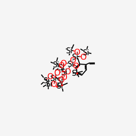 C=Cc1ccccc1[Si](O[Si](C)(C)C)(O[Si](C)(C)C)O[Si](O[Si](C)(C)C)(O[Si](C)(C)C)O[Si](O[Si](C)(C)C)(O[Si](C)(C)C)O[Si](O[Si](C)(C)C)(O[Si](C)(C)C)O[Si](C)(C)C